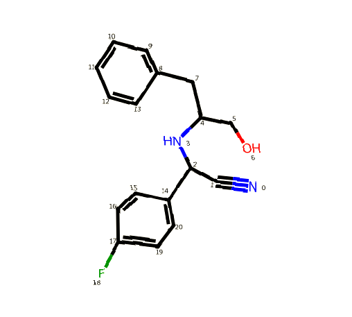 N#CC(NC(CO)Cc1ccccc1)c1ccc(F)cc1